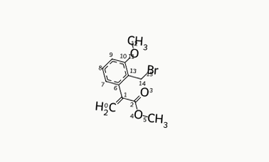 C=C(C(=O)OC)c1cccc(OC)c1CBr